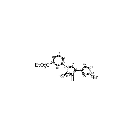 CCOC(=O)c1cccc(-n2cc(-c3ccc(Br)s3)[nH]c2=S)c1